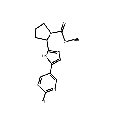 CCCCOC(=O)N1CCCC1c1ncc(-c2cnc(Cl)nc2)[nH]1